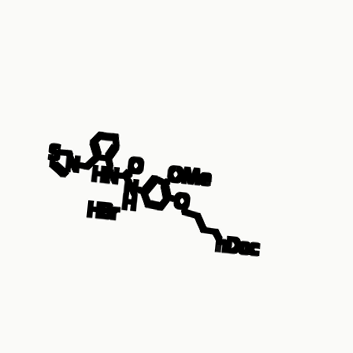 Br.CCCCCCCCCCCCCCOc1ccc(NC(=O)Nc2ccccc2CN2C=CSC2)cc1OC